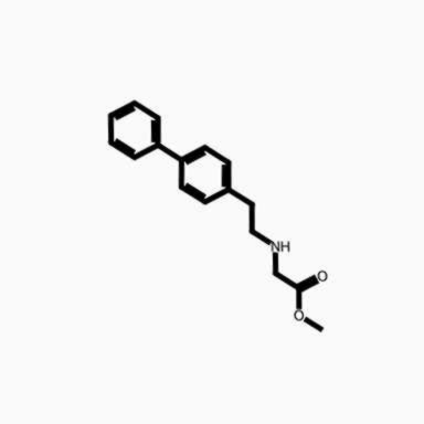 COC(=O)CNCCc1ccc(-c2ccccc2)cc1